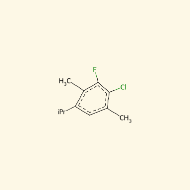 Cc1cc(C(C)C)c(C)c(F)c1Cl